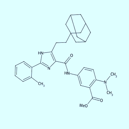 COC(=O)c1cc(NC(=O)c2nc(-c3ccccc3C)[nH]c2CCC23CC4CC(CC(C4)C2)C3)ccc1N(C)C